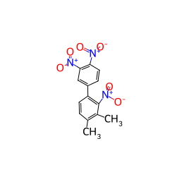 Cc1ccc(-c2ccc([N+](=O)[O-])c([N+](=O)[O-])c2)c([N+](=O)[O-])c1C